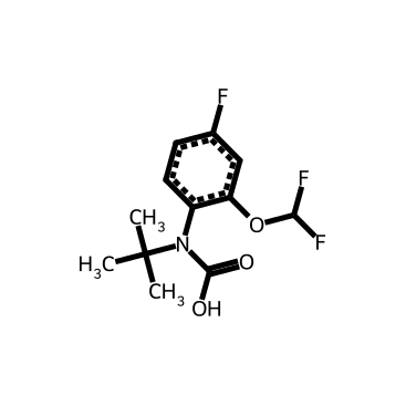 CC(C)(C)N(C(=O)O)c1ccc(F)cc1OC(F)F